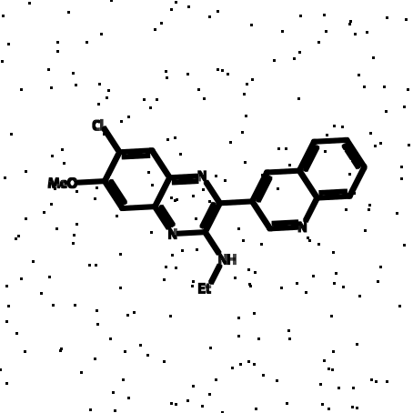 CCNc1nc2cc(OC)c(Cl)cc2nc1-c1cnc2ccccc2c1